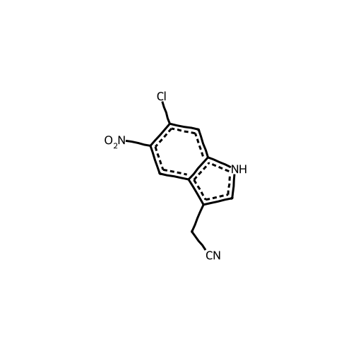 N#CCc1c[nH]c2cc(Cl)c([N+](=O)[O-])cc12